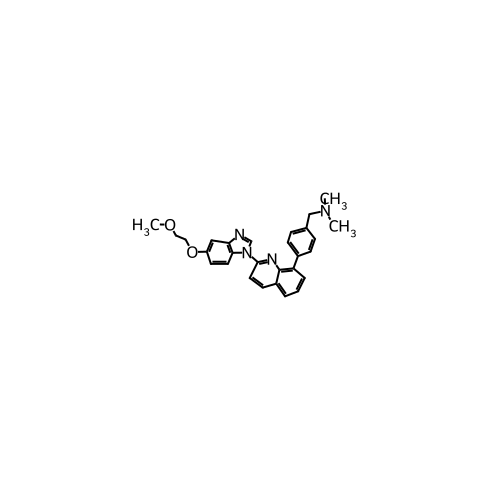 COCCOc1ccc2c(c1)ncn2-c1ccc2cccc(-c3ccc(CN(C)C)cc3)c2n1